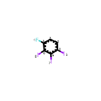 Fc1ccc(I)c(I)c1I